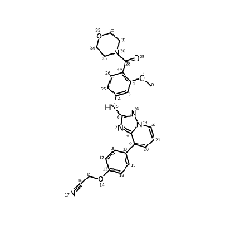 COc1cc(Nc2nc3c(-c4ccc(OCC#N)cc4)cccn3n2)ccc1C(=O)N1CCOCC1